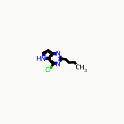 CCCCc1nc(Cl)c2[nH]ccc2n1